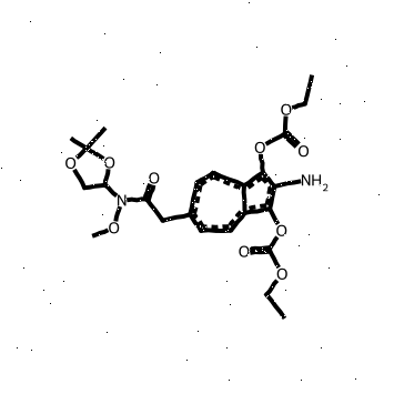 CCOC(=O)Oc1c2ccc(CC(=O)N(OC)C3COC(C)(C)O3)ccc-2c(OC(=O)OCC)c1N